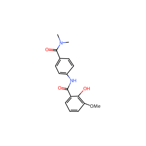 COc1cccc(C(=O)Nc2ccc(C(=O)N(C)C)cc2)c1O